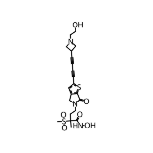 CC(CCN1Cc2cc(C#CC#CC3CN(CCO)C3)sc2C1=O)(C(=O)NO)S(C)(=O)=O